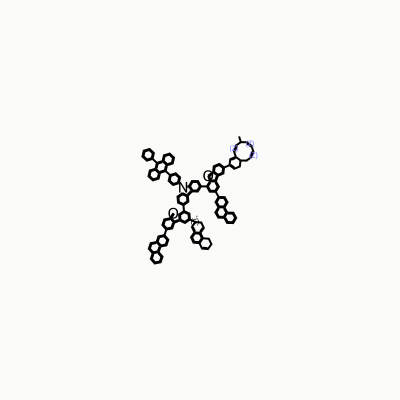 CC1/C=C\C=C/CC2CC=C(c3ccc4oc5c(-c6ccc7c(c6)c6cc(-c8cc([C@]9(C)C=c%10ccc%11c(c%10=CC9)CCC=C%11)cc9c8oc8ccc(-c%10ccc%11c(ccc%12ccccc%12%11)c%10)cc89)ccc6n7-c6ccc(-c7c8ccccc8c(-c8ccccc8)c8ccccc78)cc6)cc(-c6ccc7c(ccc8ccccc87)c6)cc5c4c3)C=C2/C=C\1